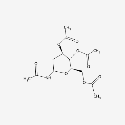 CC(=O)N[C]1C[C@@H](OC(C)=O)[C@H](OC(C)=O)[C@@H](COC(C)=O)O1